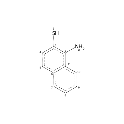 Nc1c(S)ccc2ccccc12